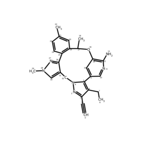 C#Cc1nn2c(c1CC)-c1cnc(N)c(c1)OC(C)c1cc(C)ccc1-c1nn(C)cc1C2